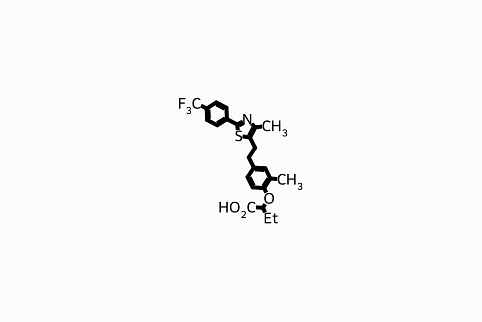 CCC(Oc1ccc(CCc2sc(-c3ccc(C(F)(F)F)cc3)nc2C)cc1C)C(=O)O